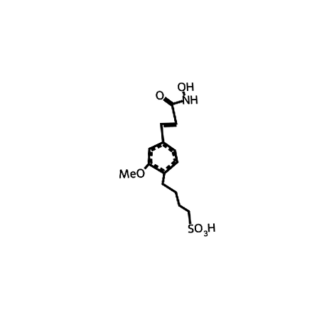 COc1cc(C=CC(=O)NO)ccc1CCCCS(=O)(=O)O